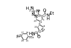 CCNC(=O)c1cc(-c2csc(C(=O)NCc3ccc(F)cc3)c2)cn2nc(N)nc12